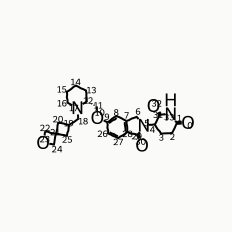 O=C1CCC(N2Cc3cc(OC[C@H]4CCCCN4CC4CC5(COC5)C4)ccc3C2=O)C(=O)N1